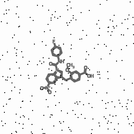 COc1cc(C(=O)O)ccc1Cc1cn(C(=O)Nc2ccc(F)cc2)c2ccc([N+](=O)[O-])cc12